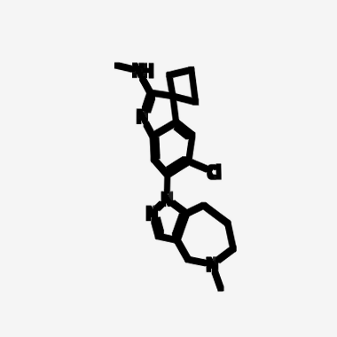 CNC1=Nc2cc(-n3ncc4c3CCCN(C)C4)c(Cl)cc2C12CCC2